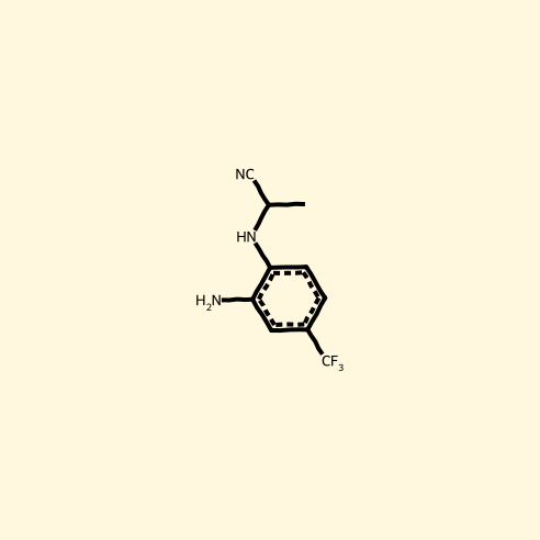 CC(C#N)Nc1ccc(C(F)(F)F)cc1N